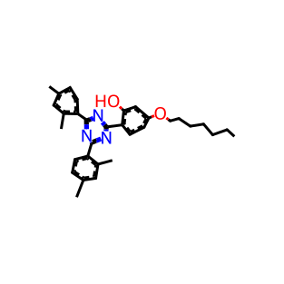 CCCCCCCOc1ccc(-c2nc(-c3ccc(C)cc3C)nc(-c3ccc(C)cc3C)n2)c(O)c1